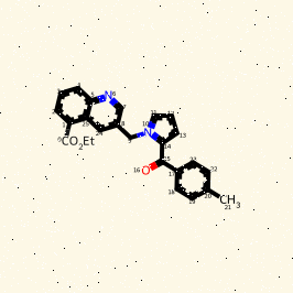 CCOC(=O)c1cccc2ncc(Cn3cccc3C(=O)c3ccc(C)cc3)cc12